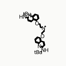 CN(CCOc1cccc2nc(NC(C)(C)C)ccc12)CCOc1cccc2nc(NC(C)(C)C)ccc12